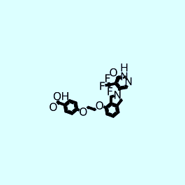 O=C(O)c1ccc(OCCOc2cccc3c2CN(c2cn[nH]c(=O)c2C(F)(F)F)C3)cc1